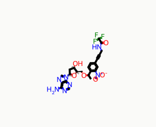 CC(OC[C@H]1O[C@@H](n2cnc3c(N)ncnc32)C[C@@H]1O)c1ccc(C#CCNC(=O)C(F)(F)F)cc1[N+](=O)[O-]